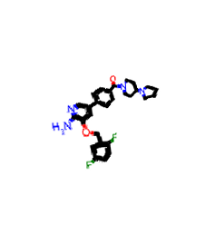 Nc1ncc(-c2ccc(C(=O)N3CCC(N4CCCC4)CC3)cc2)cc1OCc1cc(F)ccc1F